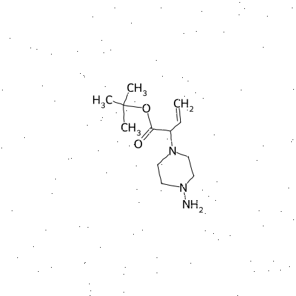 C=CC(C(=O)OC(C)(C)C)N1CCN(N)CC1